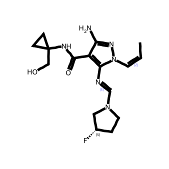 C/C=C\n1nc(N)c(C(=O)NC2(CO)CC2)c1/N=C/N1CC[C@H](F)C1